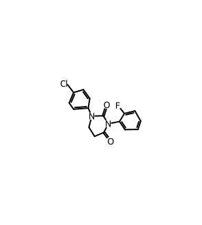 O=C1CCN(c2ccc(Cl)cc2)C(=O)N1c1ccccc1F